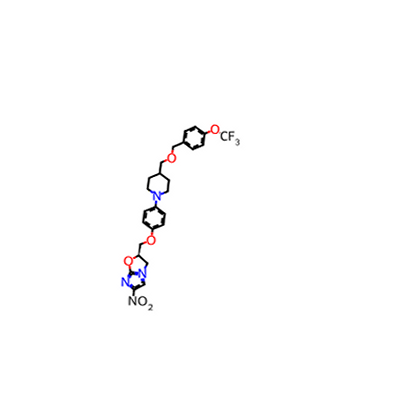 O=[N+]([O-])c1cn2c(n1)O[C@@H](COc1ccc(N3CCC(COCc4ccc(OC(F)(F)F)cc4)CC3)cc1)C2